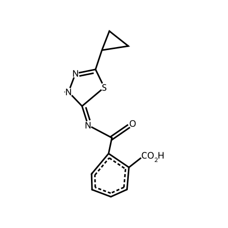 O=C(O)c1ccccc1C(=O)N=C1[N]N=C(C2CC2)S1